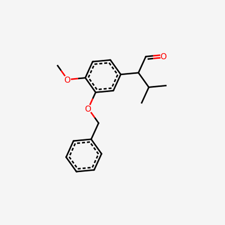 COc1ccc(C(C=O)C(C)C)cc1OCc1ccccc1